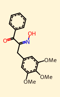 COc1cc(CC(=NO)C(=O)c2ccccc2)cc(OC)c1OC